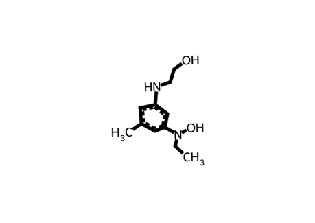 CCN(O)c1cc(C)cc(NCCO)c1